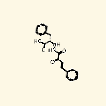 O=C(/C=C/c1ccccc1)C(=O)NN[C@@H](Cc1ccccc1)C(=O)O